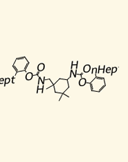 CCCCCCCc1ccccc1OC(=O)NCC1(C)CC(NC(=O)Oc2ccccc2CCCCCCC)CC(C)(C)C1